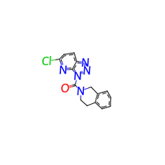 O=C(N1CCc2ccccc2C1)n1nnc2ccc(Cl)nc21